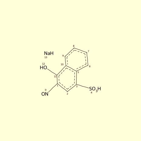 O=Nc1cc(S(=O)(=O)O)c2ccccc2c1O.[NaH]